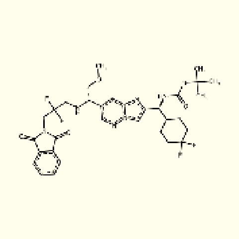 COC[C@@H](NCC(F)(F)CN1C(=O)c2ccccc2C1=O)c1cnn2cc([C@@H](NC(=O)OC(C)(C)C)C3CCC(F)(F)CC3)nc2c1